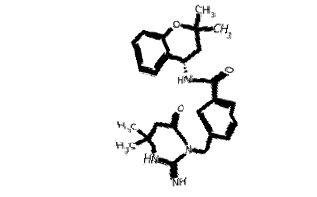 CC1(C)CC(=O)N(Cc2cccc(C(=O)N[C@H]3CC(C)(C)Oc4ccccc43)c2)C(=N)N1